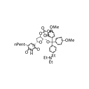 CCCCCc1cn([C@@H]2CC(OP(=O)(O)O)[C@H](COC(c3ccccc3)(c3ccc(OC)cc3)c3ccc(OC)cc3)O2)c(=O)[nH]c1=O.CCN(CC)CC